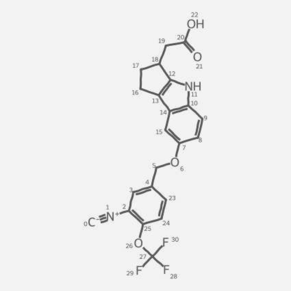 [C-]#[N+]c1cc(COc2ccc3[nH]c4c(c3c2)CCC4CC(=O)O)ccc1OC(F)(F)F